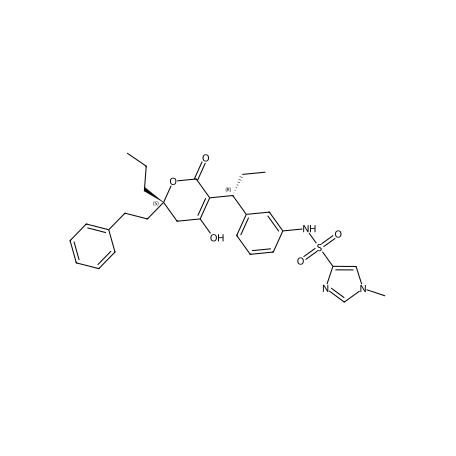 CCC[C@]1(CCc2ccccc2)CC(O)=C([C@H](CC)c2cccc(NS(=O)(=O)c3cn(C)cn3)c2)C(=O)O1